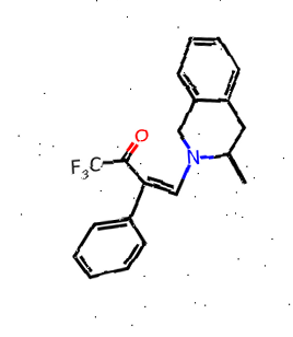 CC1Cc2ccccc2CN1/C=C(\C(=O)C(F)(F)F)c1ccccc1